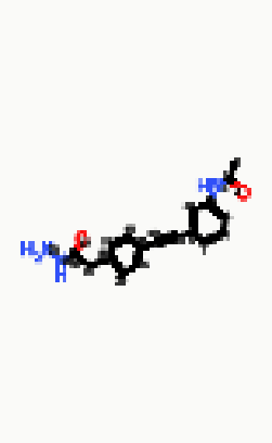 CC(=O)Nc1cccc(C#Cc2ccc(CC(=O)NN)cc2)c1